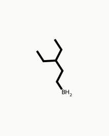 BCCC(CC)CC